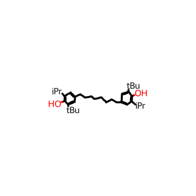 CC(C)c1cc(CCCCCCCCc2cc(C(C)C)c(O)c(C(C)(C)C)c2)cc(C(C)(C)C)c1O